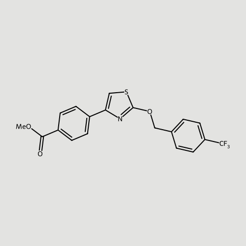 COC(=O)c1ccc(-c2csc(OCc3ccc(C(F)(F)F)cc3)n2)cc1